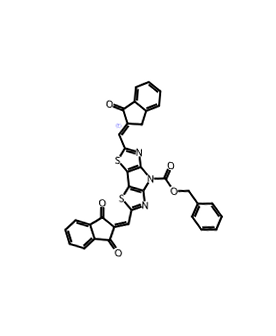 O=C1/C(=C/c2nc3c(s2)c2sc(C=C4C(=O)c5ccccc5C4=O)nc2n3C(=O)OCc2ccccc2)Cc2ccccc21